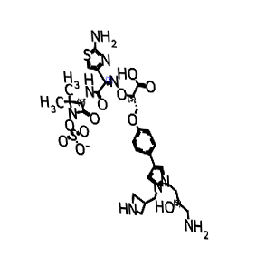 CC1(C)[C@H](NC(=O)/C(=N\O[C@@H](COc2ccc(-c3cn(C[C@@H](O)CN)[n+](CC4CNC4)c3)cc2)C(=O)O)c2csc(N)n2)C(=O)N1OS(=O)(=O)[O-]